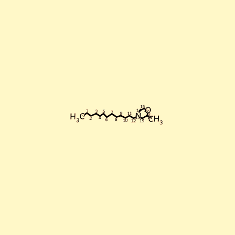 CCCCCCCCCCCCCN1CCOC(C)C1